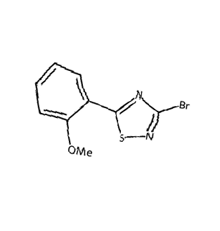 COc1ccccc1-c1nc(Br)ns1